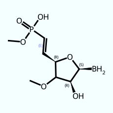 B[C@@H]1O[C@H](/C=C/P(=O)(O)OC)C(OC)[C@@H]1O